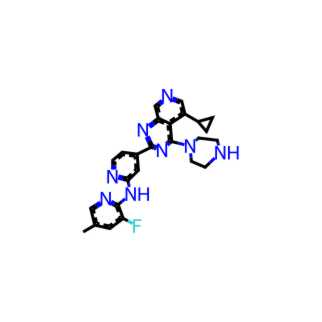 Cc1cnc(Nc2cc(-c3nc(N4CCNCC4)c4c(C5CC5)cncc4n3)ccn2)c(F)c1